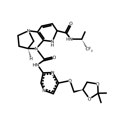 C[C@@H](NC(=O)C1C=CC2=C(N1)N(C(=O)Nc1cncc(OC[C@H]3COC(C)(C)O3)n1)[C@H]1CCN2C1)C(F)(F)F